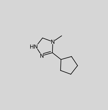 CN1CNN=C1C1CCCC1